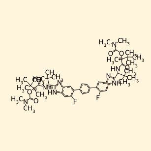 CN(C)C(=O)O[C@@](C)(C(=O)NC(c1nc2cc(-c3ccc(-c4cc5nc([C@@H](NC(=O)[C@](C)(OC(=O)N(C)C)C(C)(C)C)C(C)(C)C)[nH]c5cc4F)cc3)c(F)cc2[nH]1)C(C)(C)C)C(C)(C)C